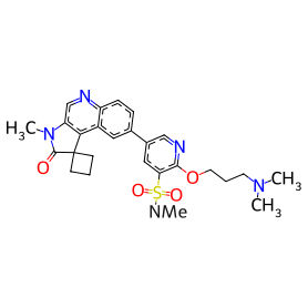 CNS(=O)(=O)c1cc(-c2ccc3ncc4c(c3c2)C2(CCC2)C(=O)N4C)cnc1OCCCN(C)C